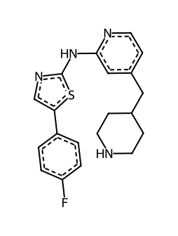 Fc1ccc(-c2cnc(Nc3cc(CC4CCNCC4)ccn3)s2)cc1